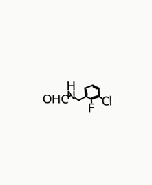 O=CNCc1cccc(Cl)c1F